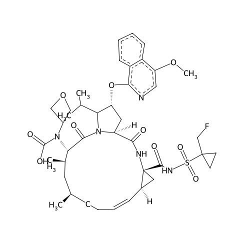 COc1cnc(O[C@@H]2C[C@H]3C(=O)N[C@]4(C(=O)NS(=O)(=O)C5(CF)CC5)C[C@H]4/C=C\CC[C@@H](C)C[C@@H](C)[C@H](N(C(=O)O)C4COC4)C(=O)N3C2C(C)C)c2ccccc12